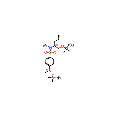 C=CC[C@@H](CO[Si](C)(C)C(C)(C)C)N(C(C)C)S(=O)(=O)c1ccc([C@H](C)O[Si](C)(C)C(C)(C)C)cc1